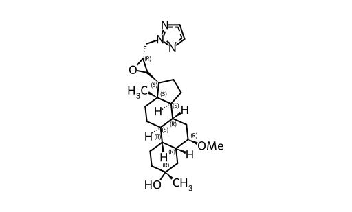 CO[C@@H]1C[C@@H]2[C@H](CC[C@]3(C)[C@@H](C4O[C@@H]4Cn4nccn4)CC[C@@H]23)[C@H]2CC[C@@](C)(O)C[C@H]21